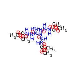 CC(=O)Oc1cccc(C(=O)NCCNC(=O)CN2CCNCCN(CC(=O)NCCNC(=O)c3cccc(OC(C)=O)c3OC(C)=O)CCN(CC(=O)NCCNC(=O)c3cccc(OC(C)=O)c3OC(C)=O)CC2)c1OC(C)=O